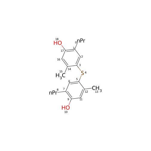 CCCc1cc(Sc2cc(CCC)c(O)cc2C)c(C)cc1O